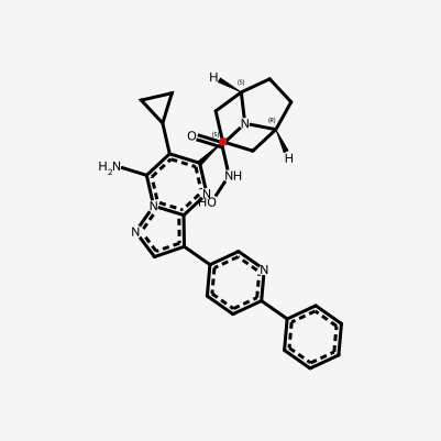 Nc1c(C2CC2)c([C@@H]2C[C@H]3CC[C@@H](C2)N3C(=O)NO)nc2c(-c3ccc(-c4ccccc4)nc3)cnn12